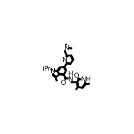 Cc1cc(C)c(CNC(=O)c2cc(-c3cccc(CN(C)C)n3)cc3c2c(C)cn3C(C)C)c(=O)[nH]1